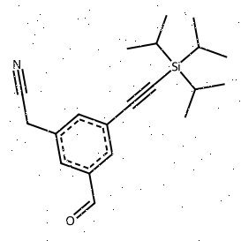 CC(C)[Si](C#Cc1cc(C=O)cc(CC#N)c1)(C(C)C)C(C)C